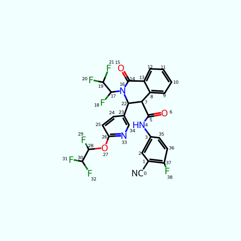 N#Cc1cc(NC(=O)C2c3ccccc3C(=O)N(C(F)C(F)F)C2c2ccc(OC(F)C(F)F)nc2)ccc1F